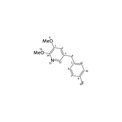 COc1cc(Cc2ccc(F)cc2)cnc1OC